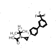 CC(C)(C)N(C(=O)O)[C@@H]1C[C@H]1c1ccc(-c2cccc(C(F)(F)F)c2)cc1